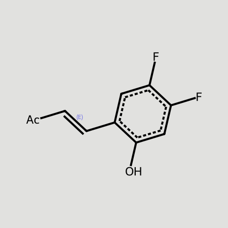 CC(=O)/C=C/c1cc(F)c(F)cc1O